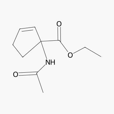 CCOC(=O)C1(NC(C)=O)C=CCC1